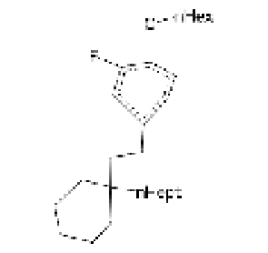 CCCCCCCC1(CCc2ccc(OCCCCCC)c(F)c2)CCCCC1